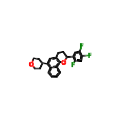 Fc1cc(F)c(C2CCc3cc(C4CCOCC4)c4ccccc4c3O2)cc1F